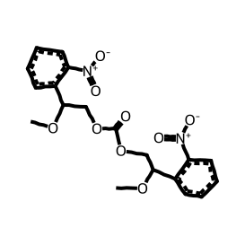 COC(COC(=O)OCC(OC)c1ccccc1[N+](=O)[O-])c1ccccc1[N+](=O)[O-]